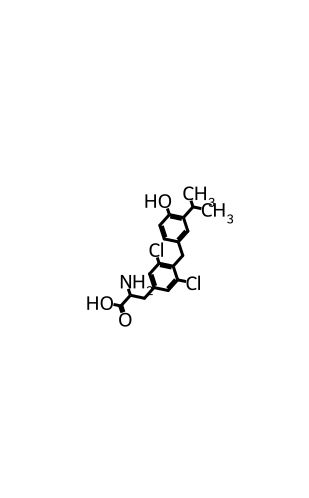 CC(C)c1cc(Cc2c(Cl)cc(CC(N)C(=O)O)cc2Cl)ccc1O